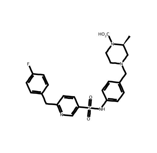 C[C@H]1CN(Cc2ccc(NS(=O)(=O)c3ccc(Cc4ccc(F)cc4)nc3)cc2)CCN1C(=O)O